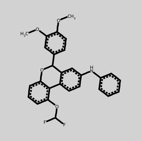 COc1ccc(C2Oc3cccc(OC(F)F)c3-c3ccc(Nc4ccccc4)cc32)cc1OC